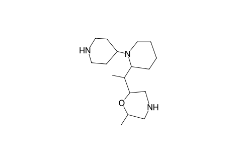 CC1CNCC(C(C)C2CCCCN2C2CCNCC2)O1